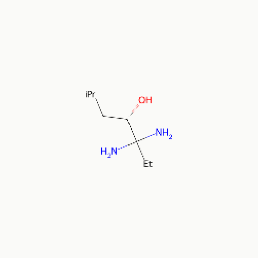 CCC(N)(N)[C@@H](O)CC(C)C